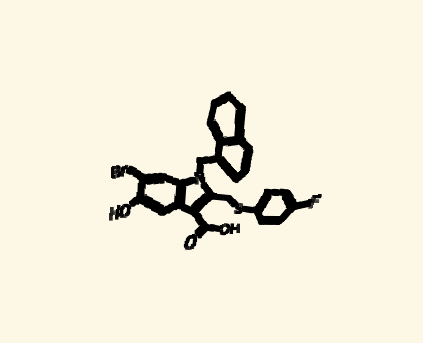 O=C(O)c1c(CSc2ccc(F)cc2)n(Cc2cccc3ccccc23)c2cc(Br)c(O)cc12